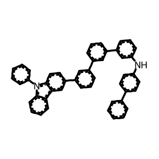 c1ccc(-c2ccc(Nc3cccc(-c4cccc(-c5cccc(-c6ccc7c(c6)c6ccccc6n7-c6ccccc6)c5)c4)c3)cc2)cc1